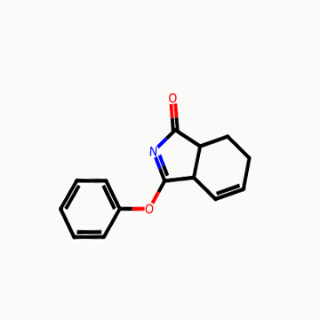 O=C1N=C(Oc2ccccc2)C2C=CCCC12